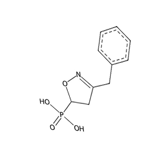 O=P(O)(O)C1CC(Cc2ccccc2)=NO1